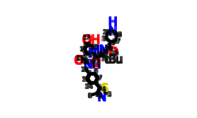 Cc1ncsc1-c1ccc(CNC(=O)[C@@H]2C[C@@H](O)CN2C(=O)[C@@H](NC(=O)C2CCNCC2)C(C)(C)C)cc1